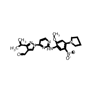 COc1cc(N2CCCC2)c([N+](=O)[O-])cc1Nc1nccc(-n2cc(C=O)c(C(C)C)n2)n1